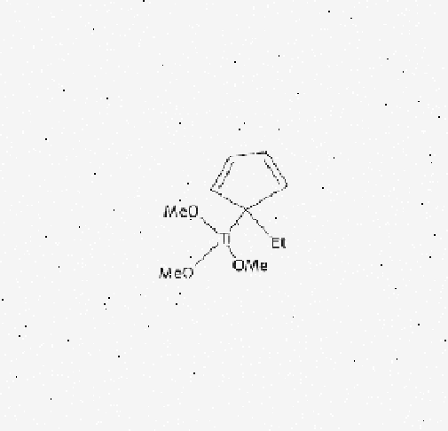 CC[C]1([Ti]([O]C)([O]C)[O]C)C=CC=C1